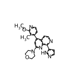 COc1nccc(-c2cc(N3CCOCC3)nc3c(-c4ccn[nH]4)nccc23)c1C